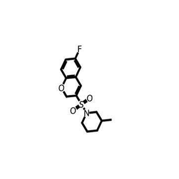 CC1CCCN(S(=O)(=O)C2=Cc3cc(F)ccc3OC2)C1